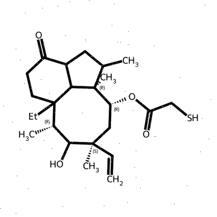 C=C[C@]1(C)C[C@@H](OC(=O)CS)[C@]2(C)C(C)CC3C(=O)CCC(CC)(C32)[C@@H](C)C1O